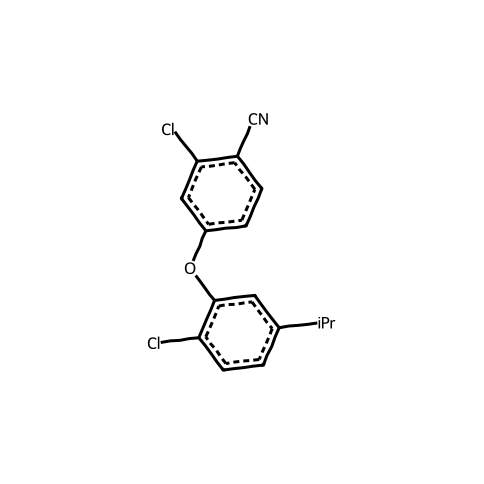 CC(C)c1ccc(Cl)c(Oc2ccc(C#N)c(Cl)c2)c1